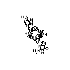 Nc1nc2c(ncn2[C@@H]2OC3CO[P@@](=O)(S)O[C@H]4[C@@H](F)[C@H](n5cnc6c(N)ncnc65)O[C@@H]4CO[P@@](=O)(S)O[C@@H]2[C@@H]3O)c(=O)[nH]1